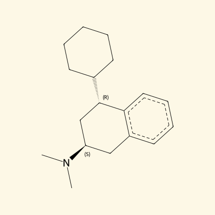 CN(C)[C@@H]1Cc2ccccc2[C@@H](C2CCCCC2)C1